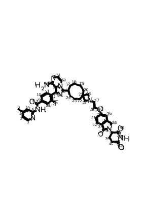 Cc1ccnc(NC(=O)c2ccc(-c3nc(C4CCCCC5(CCC4)CN(CCOc4ccc6c(c4)CN(C4CCC(=O)NC4=O)C6=O)C5)n4ccnc(N)c34)c(F)c2)c1